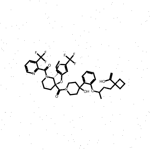 C=C(O)C1(CCC(C)Oc2ccccc2C2(O)CCN(C(=O)[C@]3(Oc4csc(C(F)(F)F)c4)CCCN(C(=O)c4ncccc4C(F)(F)F)[C@@H]3CCC)CC2)CCC1